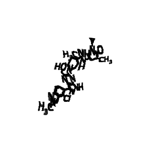 Cc1cc(NC(=N)C2(C)CCN(c3nc4[nH]nc(-c5ccc6nn(C)cc6c5Cl)c4nc3CO)CC2)cn(C2CC2)c1=O